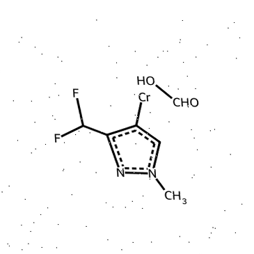 Cn1c[c]([Cr])c(C(F)F)n1.O=CO